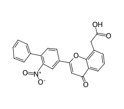 O=C(O)Cc1cccc2c(=O)cc(-c3ccc(-c4ccccc4)c([N+](=O)[O-])c3)oc12